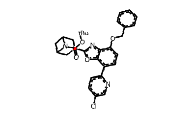 CC(C)(C)OC(=O)N1C2CC1CN(c1nc3c(OCc4ccccc4)ccc(-c4ccc(Cl)cn4)c3o1)C2